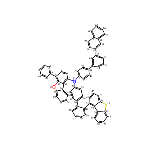 c1ccc(-c2ccc(N(c3ccc(-c4cccc(-c5ccc6ccccc6c5)c4)cc3)c3ccc(-c4ccccc4-c4cccc5sc6ccccc6c45)cc3)c3c2oc2ccccc23)cc1